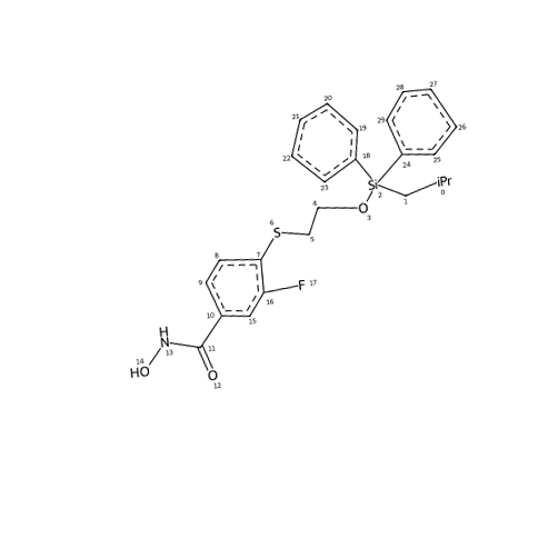 CC(C)C[Si](OCCSc1ccc(C(=O)NO)cc1F)(c1ccccc1)c1ccccc1